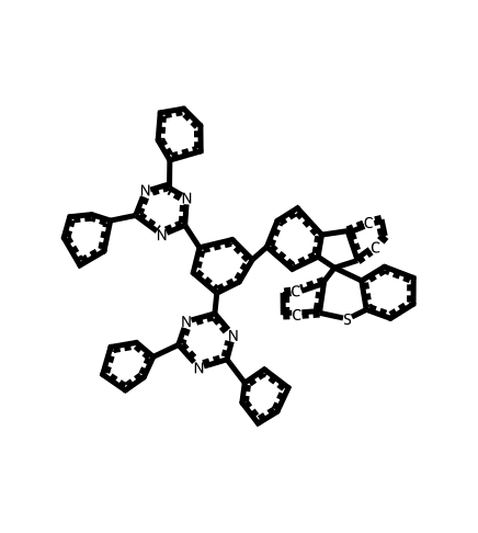 c1ccc(-c2nc(-c3ccccc3)nc(-c3cc(-c4ccc5c(c4)C4(c6ccccc6Sc6ccccc64)c4ccccc4-5)cc(-c4nc(-c5ccccc5)nc(-c5ccccc5)n4)c3)n2)cc1